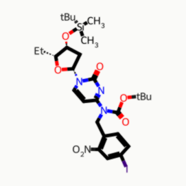 CC[C@H]1O[C@@H](n2ccc(N(Cc3ccc(I)cc3[N+](=O)[O-])C(=O)OC(C)(C)C)nc2=O)C[C@H]1O[Si](C)(C)C(C)(C)C